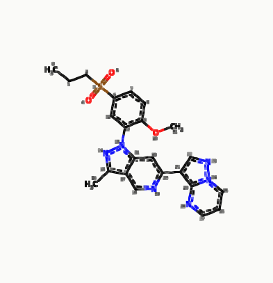 CCCS(=O)(=O)c1ccc(OC)c(-n2nc(C)c3cnc(-c4cnn5cccnc45)cc32)c1